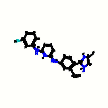 COc1cc(Nc2cccc(Nc3cccc(F)c3)n2)ccc1-c1nc(C)c[nH]1